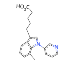 Cc1cccc2c(CCCCC(=O)O)cn(-c3cccnc3)c12